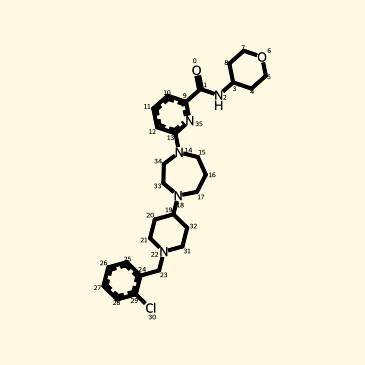 O=C(NC1CCOCC1)c1cccc(N2CCCN(C3CCN(Cc4ccccc4Cl)CC3)CC2)n1